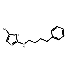 CC(=O)c1cnc(NCCCCc2ccccc2)[nH]1